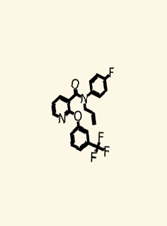 C=CCN(C(=O)c1cccnc1Oc1cccc(C(F)(F)F)c1)c1ccc(F)cc1